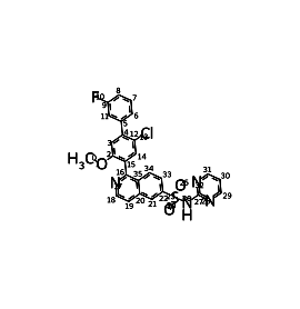 COc1cc(-c2cccc(F)c2)c(Cl)cc1-c1nccc2cc(S(=O)(=O)Nc3ncccn3)ccc12